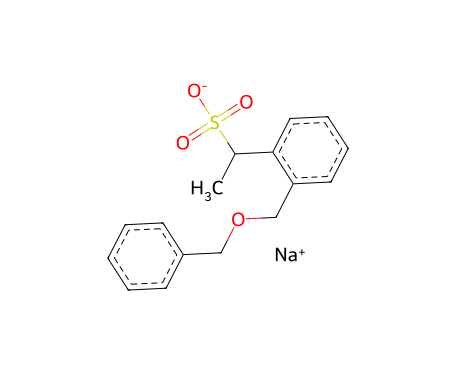 CC(c1ccccc1COCc1ccccc1)S(=O)(=O)[O-].[Na+]